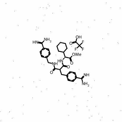 COC(=O)[C@@H](NC(=O)C(Cc1ccc(C(=N)N)cc1)C(=O)NCc1ccc(C(=N)N)cc1)C1CCCCC1.O=C(O)C(F)(F)F